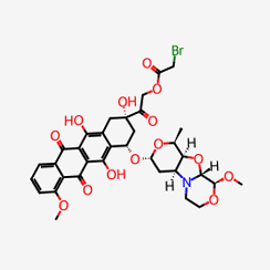 COc1cccc2c1C(=O)c1c(O)c3c(c(O)c1C2=O)C[C@@](O)(C(=O)COC(=O)CBr)C[C@@H]3O[C@H]1C[C@H]2[C@H](O[C@@H]3[C@@H](OC)OCCN32)[C@H](C)O1